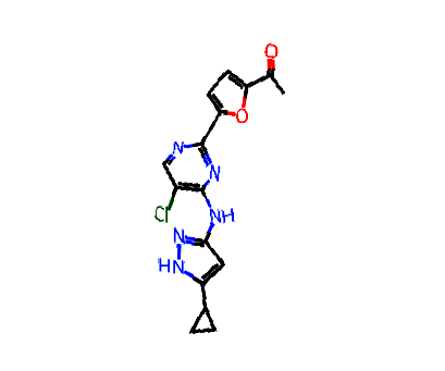 CC(=O)c1ccc(-c2ncc(Cl)c(Nc3cc(C4CC4)[nH]n3)n2)o1